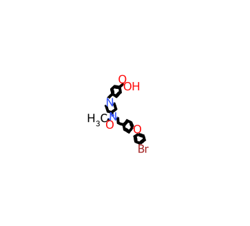 CC(=O)N(CCc1ccc(Oc2ccc(Br)cc2)cc1)C1CCN(Cc2ccc(C(=O)O)cc2)CC1